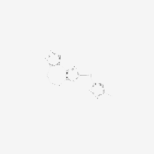 Cc1cc(Nc2nc3c(s2)CCCc2[nH]ncc2-3)n[nH]1